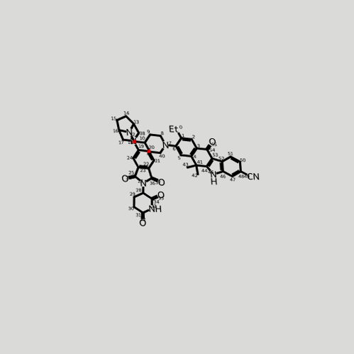 CCc1cc2c(cc1N1CCC(CN3C4CCC3CN(c3ccc5c(c3)C(=O)N(C3CCC(=O)NC3=O)C5=O)C4)CC1)C(C)(C)c1[nH]c3cc(C#N)ccc3c1C2=O